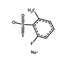 Cc1cccc(F)c1S(=O)([O-])=S.[Na+]